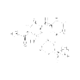 CC(C)(O)[C@H]1CC[C@H](Nc2nc(NC3CCOCC3)ncc2C(N)=O)CC1